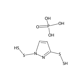 O=P(O)(O)O.SSc1ccn(SS)n1